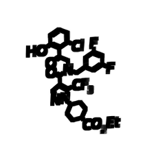 CCOC(=O)C1CCC(n2ncc(C(=O)N(CC(=O)c3c(O)cccc3Cl)Cc3cc(F)cc(F)c3)c2C(F)(F)F)CC1